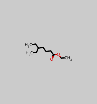 CCOC(=O)CCCC(CC)CC